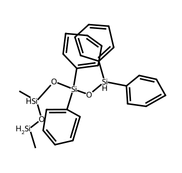 C[SiH2]O[SiH](C)O[Si](O[SiH](c1ccccc1)c1ccccc1)(c1ccccc1)c1ccccc1